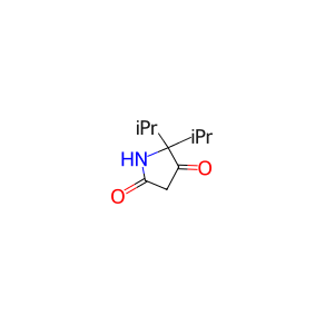 CC(C)C1(C(C)C)NC(=O)CC1=O